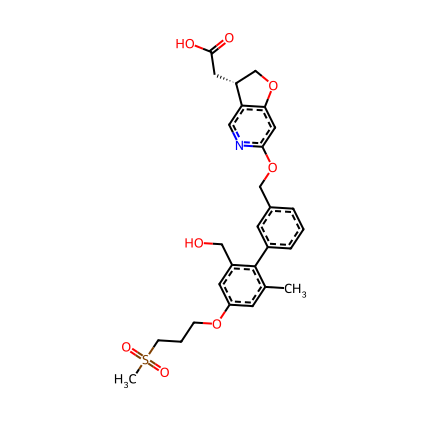 Cc1cc(OCCCS(C)(=O)=O)cc(CO)c1-c1cccc(COc2cc3c(cn2)[C@H](CC(=O)O)CO3)c1